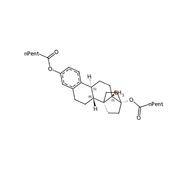 CCCCCC(=O)Oc1ccc2c(c1)CC[C@@H]1[C@@H]2CC[C@]2(C)[C@]3(OC(=O)CCCCC)CC[C@@]12CC3